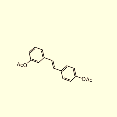 CC(=O)Oc1ccc(C=Cc2cccc(OC(C)=O)c2)cc1